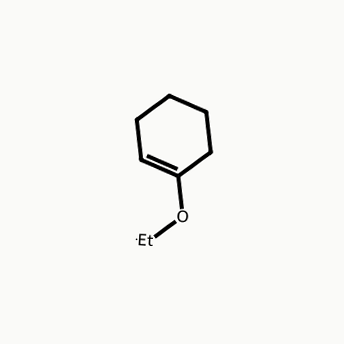 C[CH]OC1=CCCCC1